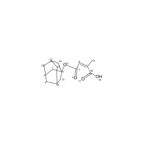 CC(=CC(=O)OC12CC3CC(CC(C3)C1)C2)C(=O)O